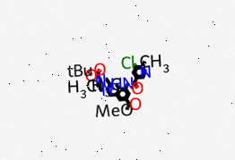 COC(=O)c1cc(CN2CCN(C(=O)OC(C)(C)C)C(C)C2)c(C)c(NC(=O)c2cnc(C)c(Cl)c2)c1